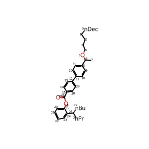 CCCCCCCCCCCCCCOC(C)c1ccc(-c2ccc(C(=O)Oc3ccccc3C(CCC)CCCC)cc2)cc1